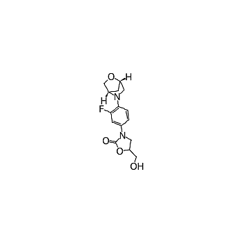 O=C1OC(CO)CN1c1ccc(N2C[C@@H]3C[C@H]2CO3)c(F)c1